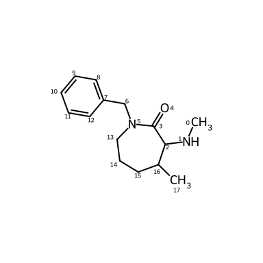 CNC1C(=O)N(Cc2ccccc2)CCCC1C